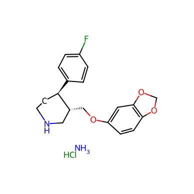 Cl.Fc1ccc([C@@H]2CCNC[C@H]2COc2ccc3c(c2)OCO3)cc1.N